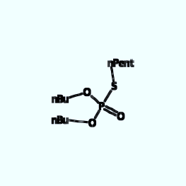 CCCCCSP(=O)(OCCCC)OCCCC